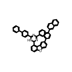 c1ccc(C2=NC(c3cccc4oc5ccc(-c6ccc(-c7ccc8ccccc8c7)cc6)cc5c34)NC(c3ccc(-c4ccccc4)cc3)=N2)cc1